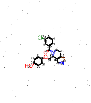 O=C(c1cccc(Cl)c1)N1CCc2sncc2C1COc1ccc(O)cc1